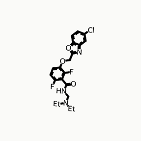 CCN(CC)CNC(=O)c1c(F)ccc(OCc2nc3cc(Cl)ccc3o2)c1F